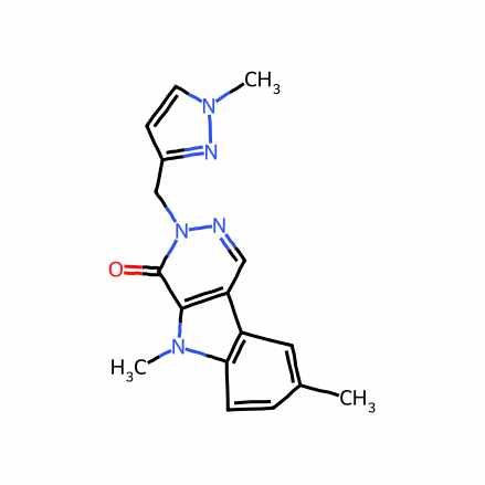 Cc1ccc2c(c1)c1cnn(Cc3ccn(C)n3)c(=O)c1n2C